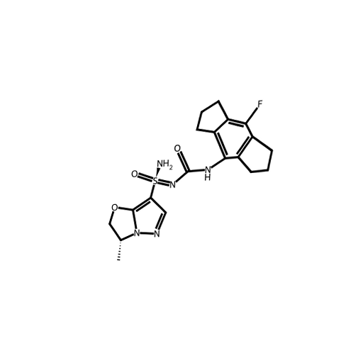 C[C@@H]1COc2c([S@](N)(=O)=NC(=O)Nc3c4c(c(F)c5c3CCC5)CCC4)cnn21